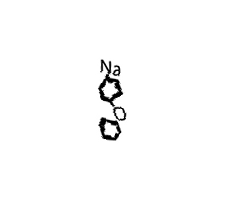 [Na][c]1ccc(Oc2ccccc2)cc1